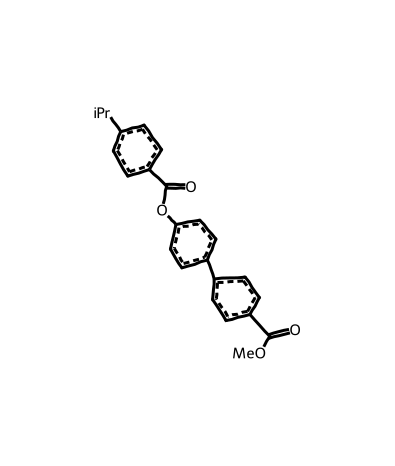 COC(=O)c1ccc(-c2ccc(OC(=O)c3ccc(C(C)C)cc3)cc2)cc1